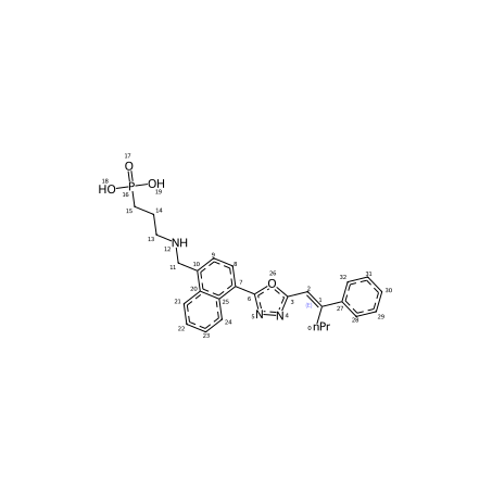 CCC/C(=C\c1nnc(-c2ccc(CNCCCP(=O)(O)O)c3ccccc23)o1)c1ccccc1